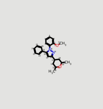 COc1ccccc1-n1nc(C2CC(C)OC(C)C2)cc1-c1ccccc1